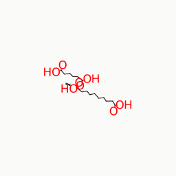 C=C.O=C(O)CCCCC(=O)O.O=C(O)CCCCCCCCC(=O)O